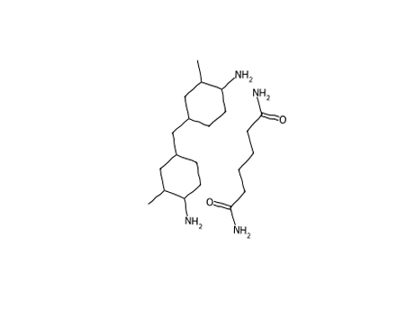 CC1CC(CC2CCC(N)C(C)C2)CCC1N.NC(=O)CCCCC(N)=O